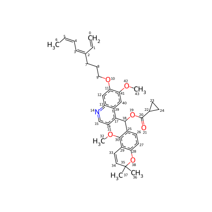 C=C/C(=C\C=C/C)CCCOc1cc2nccc(C(OC(=O)C3CC3)c3ccc4c(c3OC)C=CC(C)(C)O4)c2cc1OC